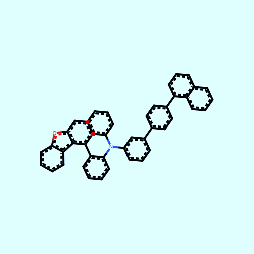 c1ccc(N(c2cccc(-c3ccc(-c4cccc5ccccc45)cc3)c2)c2ccccc2-c2cccc3oc4ccccc4c23)cc1